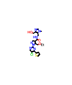 CCOCc1c(C(=O)NCc2c(CO)ncn2C)cnn1-c1ncc(Cl)c(-c2cccs2)n1